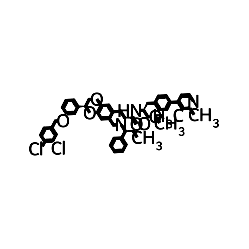 CC[C@@H](c1ccccc1)N1Cc2cc3c(cc2C[C@H]1C(=O)N[C@@H](Cc1ccc(-c2ccnc(C)c2C)cc1)C(=O)OC)OC[C@H](c1cccc(OCc2ccc(Cl)c(Cl)c2)c1)O3